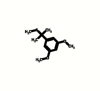 COc1cc(OC)cc(C(C)(C)SC)c1